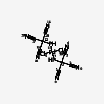 N#CC(C#N)(C#N)[PH][Pd]([Cl])([Cl])[PH]C(C#N)(C#N)C#N